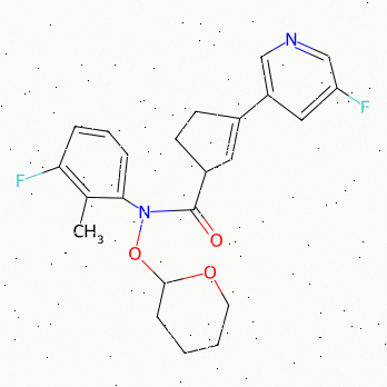 Cc1c(F)cccc1N(OC1CCCCO1)C(=O)C1C=C(c2cncc(F)c2)CC1